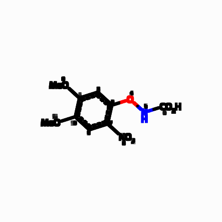 COc1cc(ONC(=O)O)c([N+](=O)[O-])cc1OC